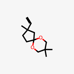 C=CC1(C)CCC2(C1)OCC(C)(C)CO2